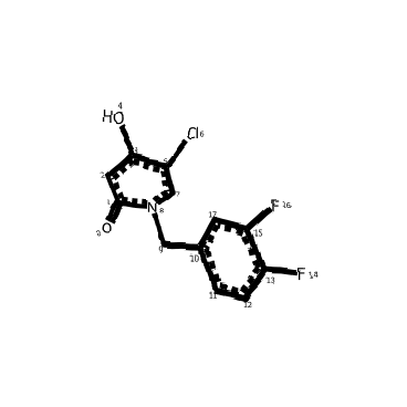 O=c1cc(O)c(Cl)cn1Cc1ccc(F)c(F)c1